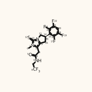 Cn1c(CC(=O)NCC(F)(F)F)c2n(c1=S)C[C@@H](c1c(F)c(F)cc(F)c1F)C2